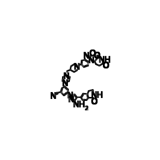 Cn1c(=O)n(C2CCC(=O)NC2=O)c2ccc(N3CCC(CN4CCN(c5cc(C#N)cc(-n6cc(-c7ccc8c(c7)CCNC8=O)c(N)n6)c5)CC4)CC3)cc21